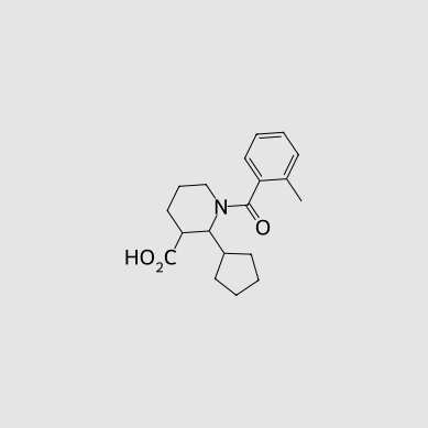 Cc1ccccc1C(=O)N1CCCC(C(=O)O)C1C1CCCC1